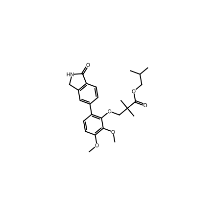 COc1ccc(-c2ccc3c(c2)CNC3=O)c(OCC(C)(C)C(=O)OCC(C)C)c1OC